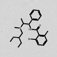 CCC(CC)CN(C)C(C)C(NC(=O)c1c(C)cccc1Br)c1ccccc1